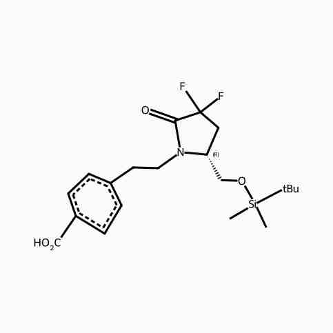 CC(C)(C)[Si](C)(C)OC[C@H]1CC(F)(F)C(=O)N1CCc1ccc(C(=O)O)cc1